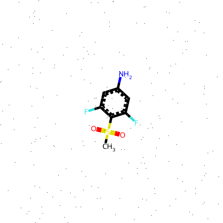 CS(=O)(=O)c1c(F)cc(N)cc1F